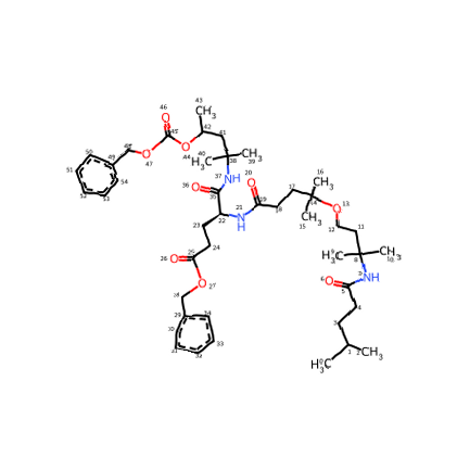 CC(C)CCC(=O)NC(C)(C)CCOC(C)(C)CCC(=O)N[C@@H](CCC(=O)OCc1ccccc1)C(=O)NC(C)(C)CC(C)OC(=O)OCc1ccccc1